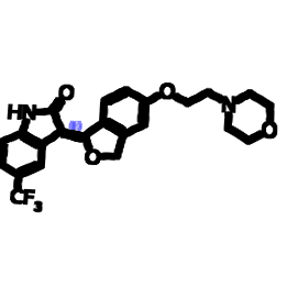 O=C1Nc2ccc(C(F)(F)F)cc2/C1=C1\OCc2cc(OCCN3CCOCC3)ccc21